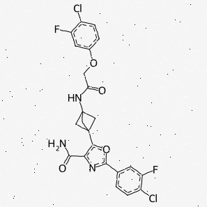 NC(=O)c1nc(-c2ccc(Cl)c(F)c2)oc1C12CC(NC(=O)COc3ccc(Cl)c(F)c3)(C1)C2